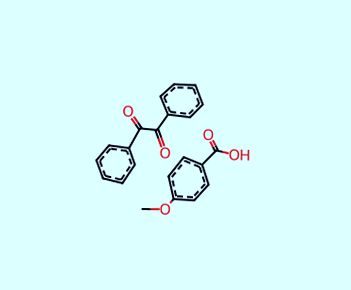 COc1ccc(C(=O)O)cc1.O=C(C(=O)c1ccccc1)c1ccccc1